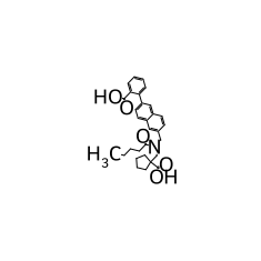 CCCCC(=O)N(Cc1ccc2cc(-c3ccccc3C(=O)O)ccc2c1)CC1(C(=O)O)CCCC1